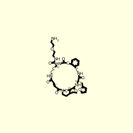 CC1C2CCN3C[C@]12C(=O)N[C@@H](Cc1ccco1)C(=O)NCc1ccccc1CC(=O)N[C@H](C(=O)NCCOCCN)CCNC(=O)/C=C/C3=O